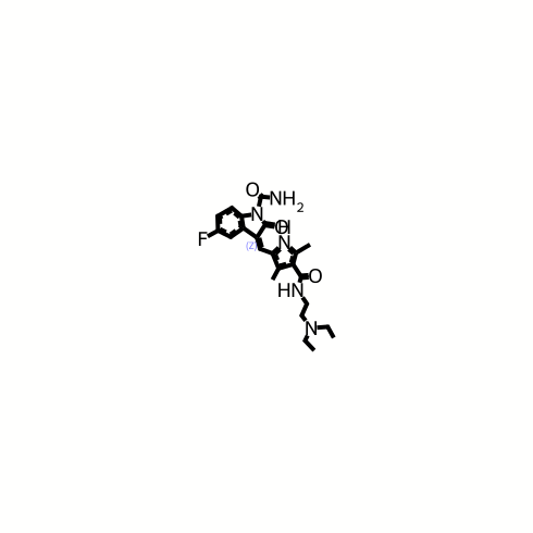 CCN(CC)CCNC(=O)c1c(C)[nH]c(/C=C2\C(=O)N(C(N)=O)c3ccc(F)cc32)c1C